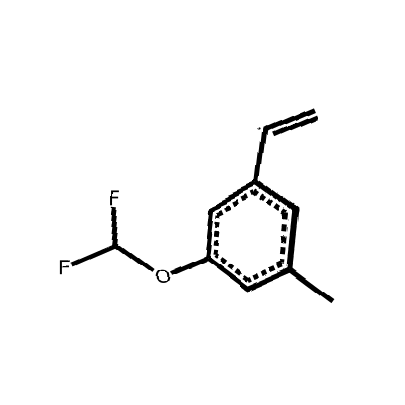 C=[C]c1cc(C)cc(OC(F)F)c1